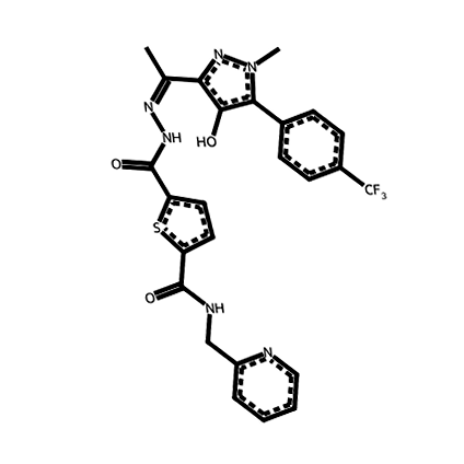 C/C(=N/NC(=O)c1ccc(C(=O)NCc2ccccn2)s1)c1nn(C)c(-c2ccc(C(F)(F)F)cc2)c1O